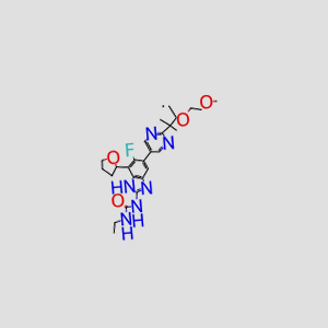 [CH2]C(OCCOC)C(C)(C)c1ncc(-c2cc3nc(NC(=O)NCC)[nH]c3c(C3CCCO3)c2F)cn1